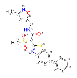 Cc1cc(CNC(=O)C(c2nc3ccc(-c4ccccc4)cc3s2)S(C)(=O)=O)on1